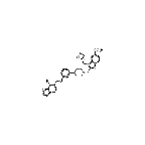 O=C(O)c1ccc2nc(CN3CCC(c4cccc(OCc5ccc6ccoc6c5F)n4)CC3)n(C[C@@H]3CCO3)c2c1